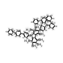 Bc1c(B)c(B)c2c(c1B)c1c(B)c(-c3ccc4c(c3)c3c(-c5ccccc5)cccc3n4-c3ccccc3-c3ccccc3)c(B)c(B)c1n2-c1ccc(-c2ccc(-c3ccccc3)cc2)cc1